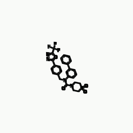 O=C(N1CCS(=O)(=O)CC1)N(Cc1ccc(-c2nnc(C(F)(F)F)o2)cc1)c1cccc(-c2ccccc2)c1